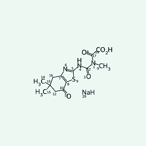 CN(C(=O)Nc1nc2c(s1)C(=O)CC(C)(C)C2)C(=O)C(=O)O.[NaH]